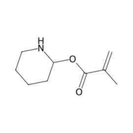 C=C(C)C(=O)OC1CCCCN1